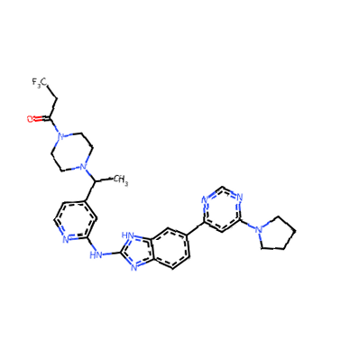 CC(c1ccnc(Nc2nc3ccc(-c4cc(N5CCCC5)ncn4)cc3[nH]2)c1)N1CCN(C(=O)CC(F)(F)F)CC1